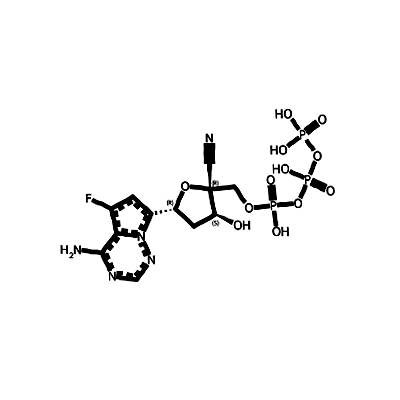 N#C[C@]1(COP(=O)(O)OP(=O)(O)OP(=O)(O)O)O[C@@H](c2cc(F)c3c(N)ncnn23)C[C@@H]1O